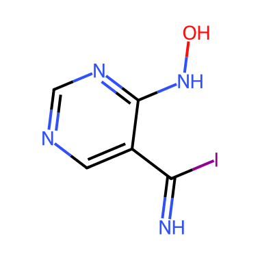 N=C(I)c1cncnc1NO